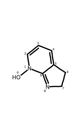 ON1C=CC=C2CCN=C21